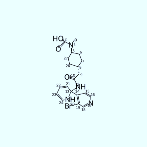 CN(C(=O)O)[C@H]1CC[C@H](CC(=O)NC2(c3ccncc3Br)C=CC=CN2)CC1